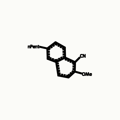 CCCCCc1ccc2c(C#N)c(OC)ccc2c1